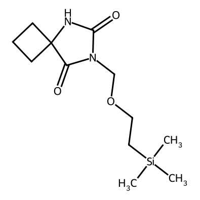 C[Si](C)(C)CCOCN1C(=O)NC2(CCC2)C1=O